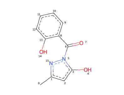 Cc1cc(O)n(C(=O)c2ccccc2O)n1